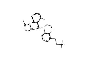 Cc1nnc2nc(N3CCCc4c(CCC(C)(C)O)cccc43)c3c(F)cccc3n12